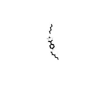 CCCCCCOc1ncc(-c2ccc(OC(=O)[C@H](C)[C@H](Cl)CCC)cc2)cn1